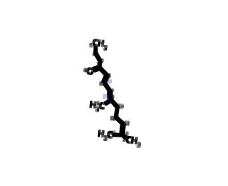 CCCC(=O)/C=C/C=C(\C)CCC=C(C)C